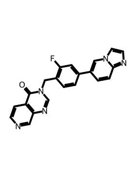 O=c1c2ccncc2ncn1Cc1ccc(-c2ccc3nccn3c2)cc1F